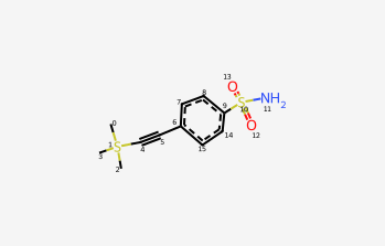 CS(C)(C)C#Cc1ccc(S(N)(=O)=O)cc1